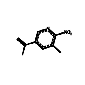 C=C(C)c1cnc([N+](=O)[O-])c(C)c1